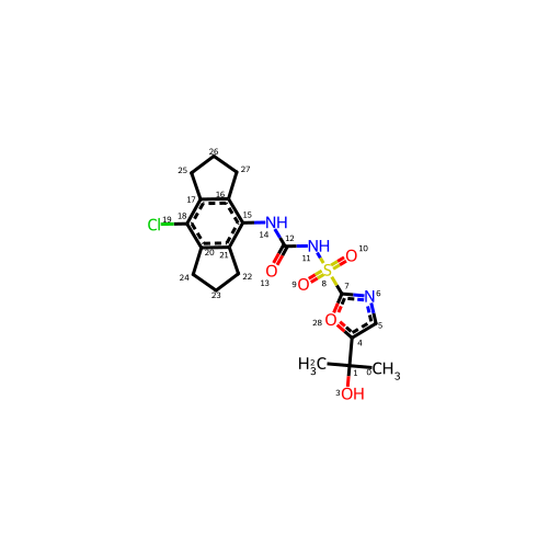 CC(C)(O)c1cnc(S(=O)(=O)NC(=O)Nc2c3c(c(Cl)c4c2CCC4)CCC3)o1